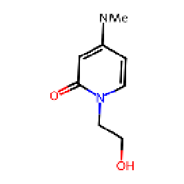 CNc1ccn(CCO)c(=O)c1